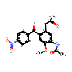 COc1cc(C(=O)c2ccc([N+](=O)[O-])cc2)c(CC(C)=O)cc1NC(C)=O